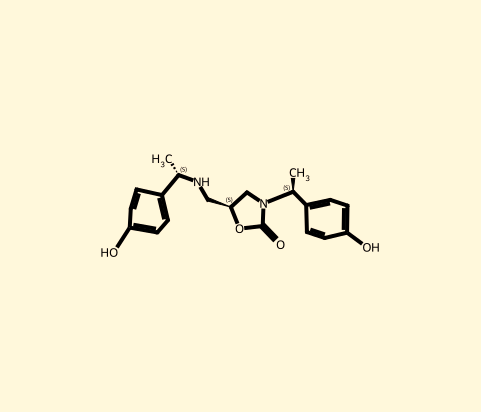 C[C@H](NC[C@H]1CN([C@@H](C)c2ccc(O)cc2)C(=O)O1)c1ccc(O)cc1